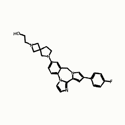 OCCN1CC2(CCN(c3ccc4c(c3)Cn3cc(-c5ccc(F)cc5)cc3-c3nccn3-4)C2)C1